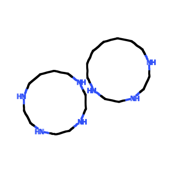 C1CCCNCCNCCNCCC1.C1CCNCCNCCNCCNC1